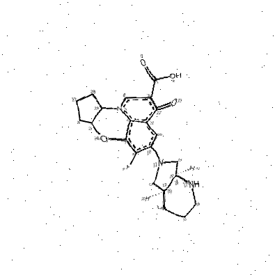 O=C(O)c1cn2c3c(c(F)c(N4C[C@@H]5CCCN[C@@H]5C4)cc3c1=O)OC1CCCC12